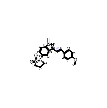 COc1ccc(/C=C/c2n[nH]c3ccc(N4CCCS4(=O)=O)cc23)cc1